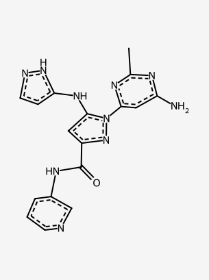 Cc1nc(N)cc(-n2nc(C(=O)Nc3cccnc3)cc2Nc2ccn[nH]2)n1